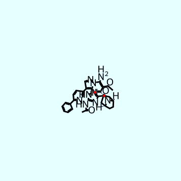 CC(=O)Nc1nc(C(=O)N2[C@@H]3CC[C@H]2C[C@H](c2nc4c(-c5ccc(-c6ccccc6)nc5)cnn4c(N)c2C(C)=O)C3)n[nH]1